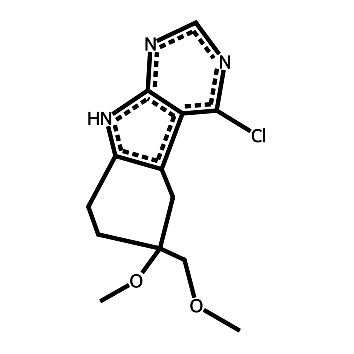 COCC1(OC)CCc2[nH]c3ncnc(Cl)c3c2C1